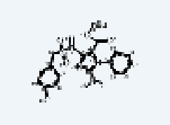 CCCCOC(=O)c1c(NS(=O)(=O)Cc2ccc(Cl)cc2)nc(N(C)C)n1-c1ccccc1